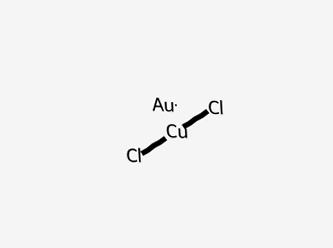 [Au].[Cl][Cu][Cl]